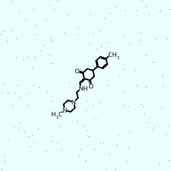 Cc1ccc(C2CC(=O)C(=CNCCN3CCN(C)CC3)C(=O)C2)cc1